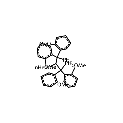 CCCCCCCC(C(P)(c1ccccc1OC)c1ccccc1OC)C(P)(c1ccccc1OC)c1ccccc1OC